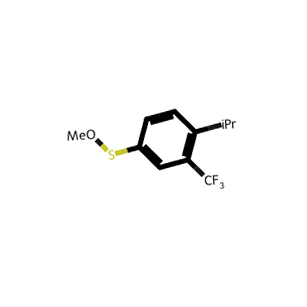 COSc1ccc(C(C)C)c(C(F)(F)F)c1